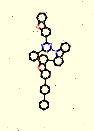 c1ccc(-c2ccc(-c3ccc4c(c3)oc3cccc(-c5cccc6c7ccccc7n(-c7nc(-c8ccccc8)nc(-c8ccc9c(c8)oc8ccccc89)n7)c56)c34)cc2)cc1